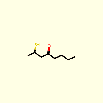 CCCCC(=O)CC(C)S